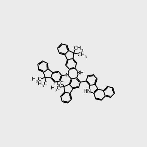 CC1(C)c2ccccc2-c2cc(N3c4cc5c(cc4Bc4c(-c6cccc7c6[nH]c6ccc8ccccc8c67)cc6c(c43)C(C)(C)c3ccccc3-6)C(C)(C)c3ccccc3-5)ccc21